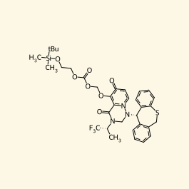 C[C@@H](N1CN([C@H]2c3ccccc3CSc3ccccc32)n2ccc(=O)c(OCOC(=O)OCCO[Si](C)(C)C(C)(C)C)c2C1=O)C(F)(F)F